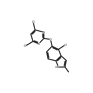 Cc1cc2c(Cl)c(Oc3nc(Cl)cc(Cl)n3)ccc2[nH]1